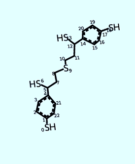 Sc1ccc(C(S)CCSCCC(S)c2ccc(S)cc2)cc1